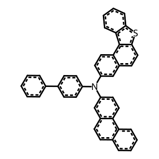 c1ccc(-c2ccc(N(c3ccc4c(ccc5ccccc54)c3)c3ccc4c(ccc5sc6ccccc6c54)c3)cc2)cc1